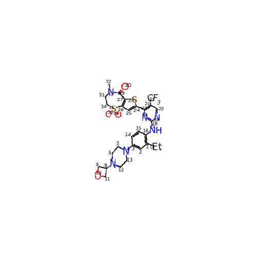 CCc1cc(N2CCN(C3COC3)CC2)ccc1Nc1ncc(C(F)(F)F)c(-c2cc3c(s2)C(=O)N(C)CCS3(=O)=O)n1